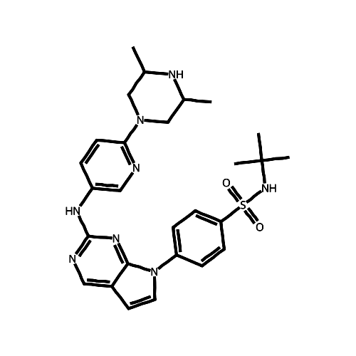 CC1CN(c2ccc(Nc3ncc4ccn(-c5ccc(S(=O)(=O)NC(C)(C)C)cc5)c4n3)cn2)CC(C)N1